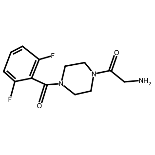 NCC(=O)N1CCN(C(=O)c2c(F)cccc2F)CC1